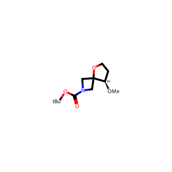 CO[C@@H]1CCOC12CN(C(=O)OC(C)(C)C)C2